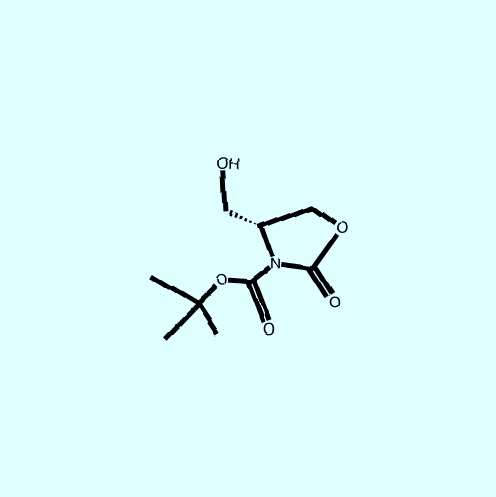 CC(C)(C)OC(=O)N1C(=O)OC[C@H]1CO